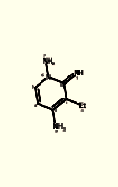 CCc1c(N)ccn(N)c1=N